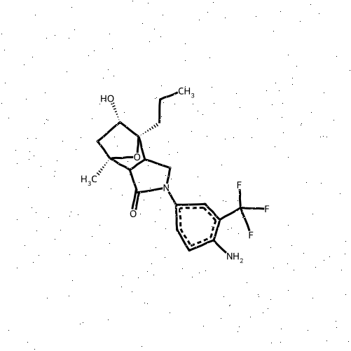 CCC[C@]12O[C@](C)(C[C@@H]1O)C1C(=O)N(c3ccc(N)c(C(F)(F)F)c3)CC12